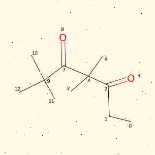 CCC(=O)C(C)(C)C(=O)C(C)(C)C